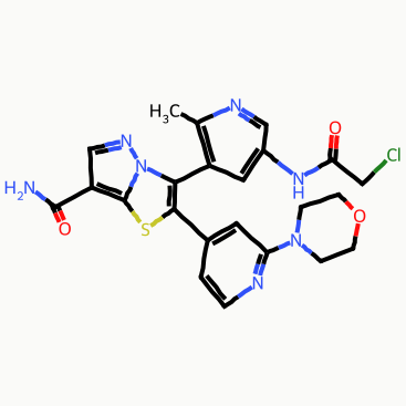 Cc1ncc(NC(=O)CCl)cc1-c1c(-c2ccnc(N3CCOCC3)c2)sc2c(C(N)=O)cnn12